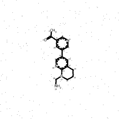 CC(=O)c1cncc(-c2cnc3c(c2)CCCN3CN)c1